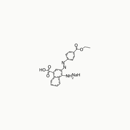 CCOC(=O)c1ccc(/N=N/c2cc(S(=O)(=O)O)c3ccccc3c2N)cc1.[NaH]